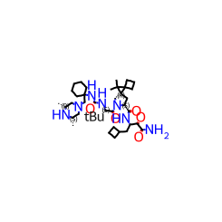 C[C@@H]1CN(CC2(NC(=O)N[C@H](C(=O)N3C[C@]4(C[C@H]3C(=O)NC(CC3CCC3)C(=O)C(N)=O)C(C)(C)C43CCC3)C(C)(C)C)CCCCC2)C[C@H](C)N1